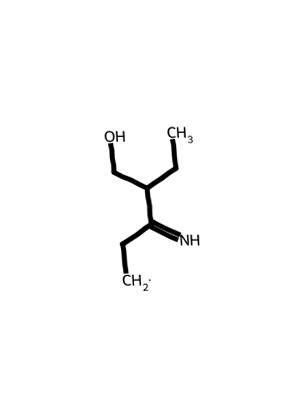 [CH2]CC(=N)C(CC)CO